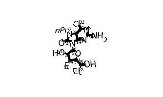 CCCn1c(=O)n([C@@H]2O[C@H]([C@@H](O)CC)[C@H](F)[C@H]2O)c2nc(N)nc(Cl)c21